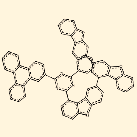 c1ccc(-c2nc(-c3ccc4c5ccccc5c5ccccc5c4c3)nc(-c3cccc4oc5ccc(-c6cc(-c7ccc8c(c7)sc7ccccc78)cc7oc8ccccc8c67)cc5c34)n2)cc1